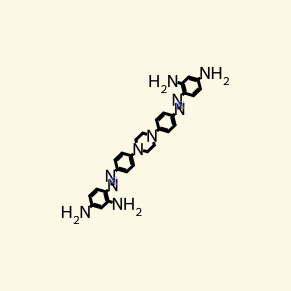 Nc1ccc(/N=N/c2ccc(N3CCN(c4ccc(/N=N/c5ccc(N)cc5N)cc4)CC3)cc2)c(N)c1